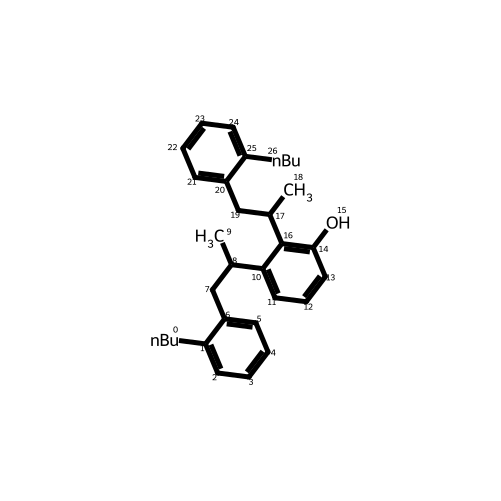 CCCCc1ccccc1CC(C)c1cccc(O)c1C(C)Cc1ccccc1CCCC